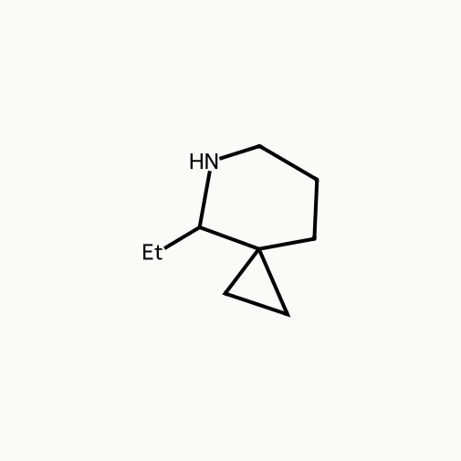 CCC1NCCCC12CC2